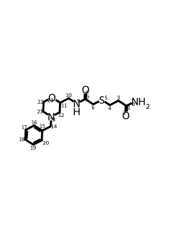 NC(=O)CCSCC(=O)NCC1CN(Cc2ccccc2)CCO1